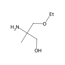 CCOCC(C)(N)CO